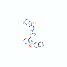 O=C(CCC1CCCCN1S(=O)(=O)c1ccc2ccccc2c1)N1CCC(O)(c2cccnc2)CC1